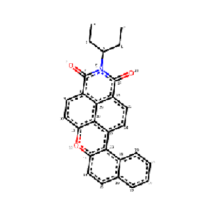 CCC(CC)n1c(=O)c2ccc3oc4ccc5ccccc5c4c4ccc(c1=O)c2c34